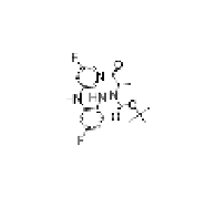 CC(C=O)N(Nc1ccc(F)cc1Nc1cncc(F)c1)C(=O)OC(C)(C)C